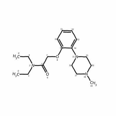 CCN(CC)C(=O)COc1ccccc1N1CCN(C)CC1